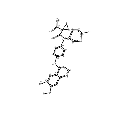 COc1cc2nccc(Oc3ccc(N(C(=O)C4(C(N)=O)CC4)c4ccc(F)cc4)cc3)c2nc1Br